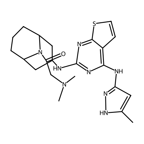 Cc1cc(Nc2nc(NC3CC4CCCC(C3)N4C(=O)CN(C)C)nc3sccc23)n[nH]1